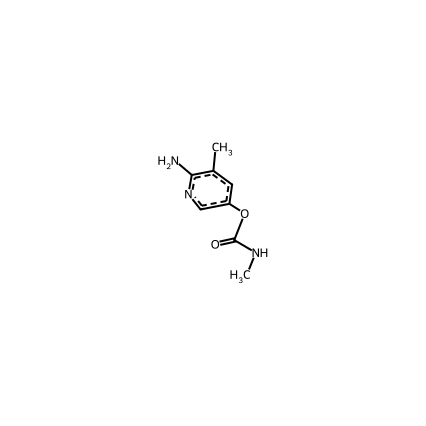 CNC(=O)Oc1cnc(N)c(C)c1